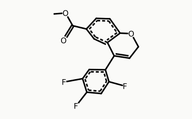 COC(=O)c1ccc2c(c1)C(c1cc(F)c(F)cc1F)=CCO2